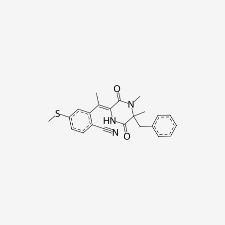 CSc1ccc(C#N)c(C(C)=C2NC(=O)C(C)(Cc3ccccc3)N(C)C2=O)c1